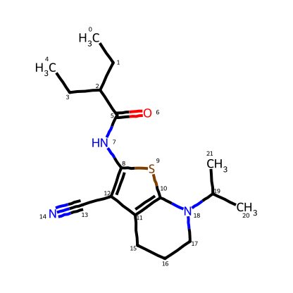 CCC(CC)C(=O)Nc1sc2c(c1C#N)CCCN2C(C)C